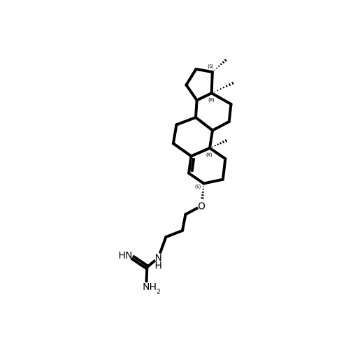 C[C@H]1CCC2C3CCC4=C[C@@H](OCCCNC(=N)N)CC[C@]4(C)C3CC[C@@]21C